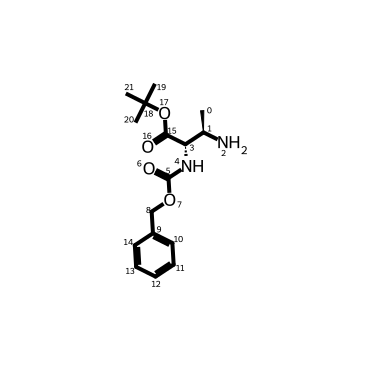 C[C@@H](N)[C@H](NC(=O)OCc1ccccc1)C(=O)OC(C)(C)C